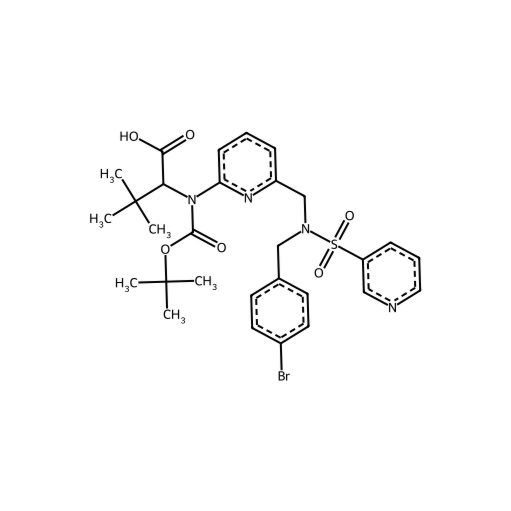 CC(C)(C)OC(=O)N(c1cccc(CN(Cc2ccc(Br)cc2)S(=O)(=O)c2cccnc2)n1)C(C(=O)O)C(C)(C)C